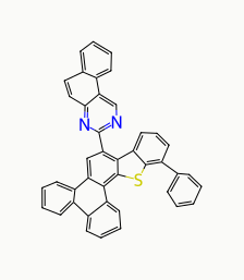 c1ccc(-c2cccc3c2sc2c3c(-c3ncc4c(ccc5ccccc54)n3)cc3c4ccccc4c4ccccc4c32)cc1